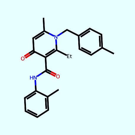 CCc1c(C(=O)Nc2ccccc2C)c(=O)cc(C)n1Cc1ccc(C)cc1